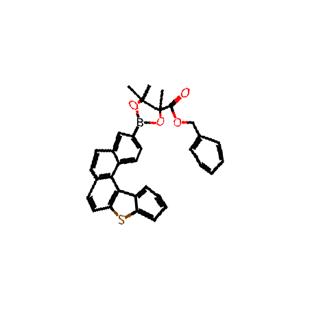 CC1(C)OB(c2ccc3c(ccc4ccc5sc6ccccc6c5c43)c2)OC1(C)C(=O)OCc1ccccc1